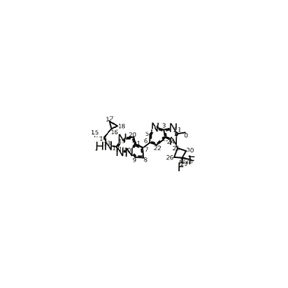 Cc1nc2ncc(-c3ccn4nc(N[C@H](C)C5CC5)ncc34)cc2n1C1CC(F)(F)C1